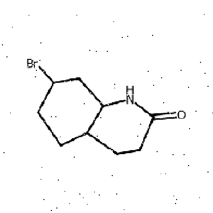 O=C1CCC2CCC(Br)CC2N1